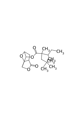 CCC(C)C(C)(CC(C)(C)C)C(=O)OC1C2CC3C(=O)OC1C3O2